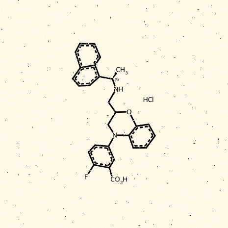 C[C@@H](NCC1CN(c2ccc(F)c(C(=O)O)c2)c2ccccc2O1)c1cccc2ccccc12.Cl